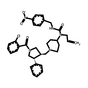 C=CCN(C(=O)NCc1ccc([N+](=O)[O-])cc1)C1CCN(C[C@@H]2CN(C(=O)c3ccccc3Cl)C[C@H]2c2ccccc2)CC1